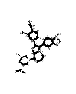 CN(C)[C@@H]1C[C@H](F)CN(c2nccn3c(-c4ccc5c(c4)nnn5C)c(-c4ccc(C#N)c(F)c4)nc23)C1